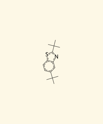 CC(C)(C)c1ccc2sc(C(C)(C)C)nc2c1